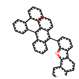 c1ccc(-c2ccccc2-c2c3ccccc3c(-c3cccc4c3oc3c5ccccc5ccc43)c3ccccc23)cc1